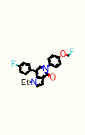 CCn1ccc2c(=O)n(-c3ccc(OCF)cc3)cc(-c3ccc(F)cc3)c21